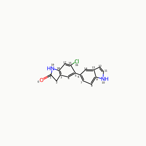 O=C1Cc2cc(-c3ccc4[nH]ccc4c3)c(Cl)cc2N1